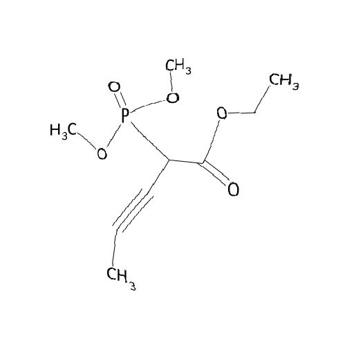 CC#CC(C(=O)OCC)P(=O)(OC)OC